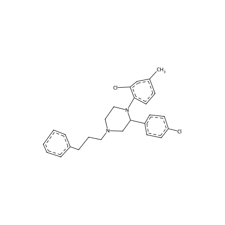 Cc1ccc(N2CCN(CCCc3ccccc3)CC2c2ccc(Cl)cc2)c(Cl)c1